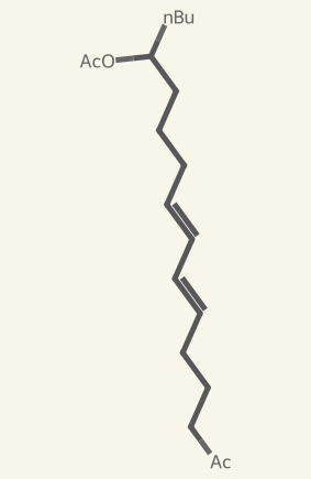 CCCCC(CCCC=CC=CCCCC(C)=O)OC(C)=O